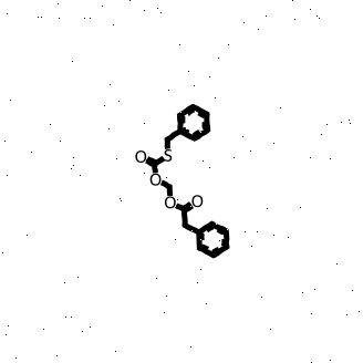 O=C(Cc1ccccc1)OCOC(=O)SCc1ccccc1